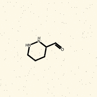 O=[C]C1CCCNN1